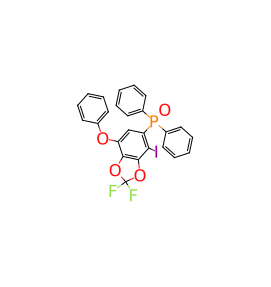 O=P(c1ccccc1)(c1ccccc1)c1cc(Oc2ccccc2)c2c(c1I)OC(F)(F)O2